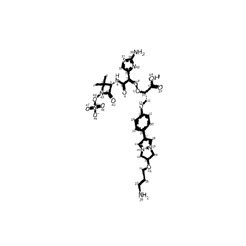 CC1(C)[C@H](NC(=O)/C(=N\O[C@@H](COc2ccc(-c3cn4[n+](c3)CC(OCCCN)C4)cc2)C(=O)O)c2csc(N)n2)C(=O)N1OS(=O)(=O)[O-]